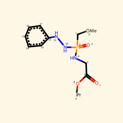 COCP(=O)(NCC(=O)OC(C)C)NNc1ccccc1